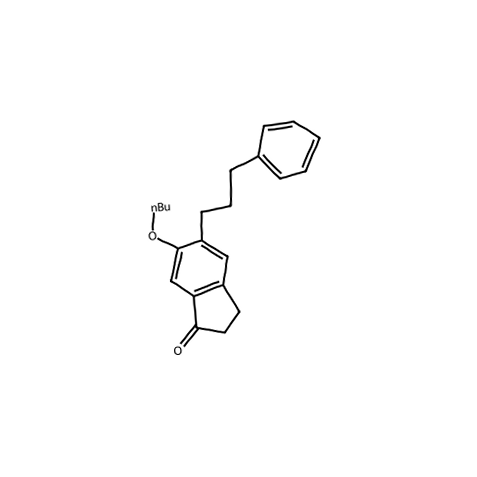 CCCCOc1cc2c(cc1CCCc1ccccc1)CCC2=O